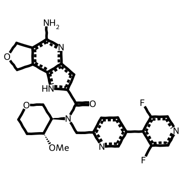 CO[C@@H]1CCOC[C@H]1N(Cc1ccc(-c2c(F)cncc2F)cn1)C(=O)c1cc2nc(N)c3c(c2[nH]1)COC3